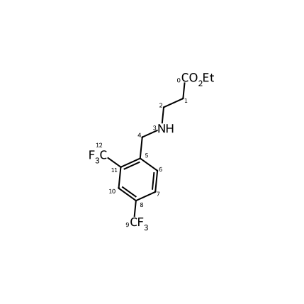 CCOC(=O)CCNCc1ccc(C(F)(F)F)cc1C(F)(F)F